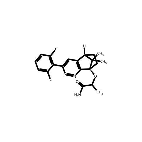 CC(O[C@@]12CC[C@@H](c3cc(-c4c(F)cccc4F)nnc31)C2(C)C)C(N)=O